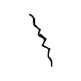 CC=CCC=CCCCCC